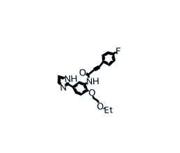 CCOCCOc1ccc(-c2ncc[nH]2)cc1NC(=O)C#Cc1ccc(F)cc1